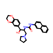 O=C(Nc1ccc2ccccc2c1)NC(CN1CCCC1)C(O)c1ccc2c(c1)OCCO2